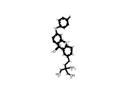 Cc1ccc(Sc2ccc3c(=O)c4cc(CCC(N)(CO)CO)ccc4sc3c2)cc1